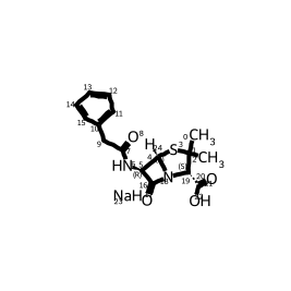 CC1(C)S[C@@H]2[C@H](NC(=O)Cc3ccccc3)C(=O)N2[C@H]1C(=O)O.[NaH]